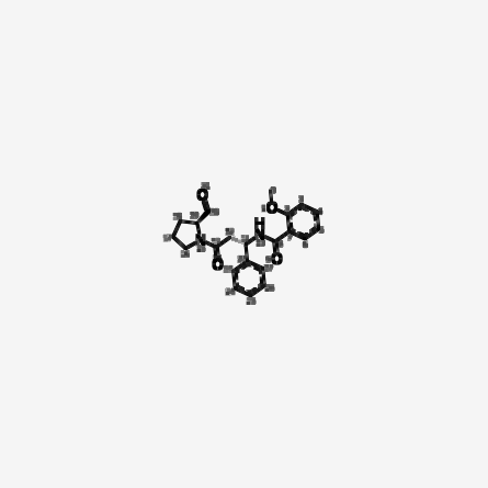 COc1ccccc1C(=O)N[C@@H](CC(=O)N1CCC[C@H]1C=O)c1ccccc1